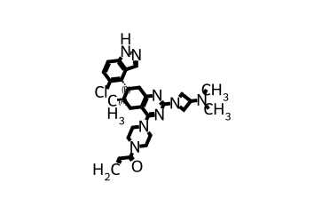 C=CC(=O)N1CCN(c2nc(N3CC(N(C)C)C3)nc3c2C[C@@H](C)[C@H](c2c(Cl)ccc4[nH]ncc24)C3)CC1